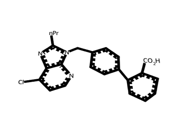 CCCc1nc2c(Cl)ccnc2n1Cc1ccc(-c2ccccc2C(=O)O)cc1